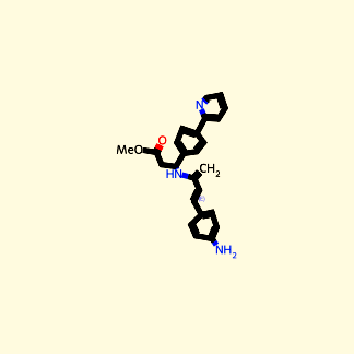 C=C(/C=C/c1ccc(N)cc1)NC(CC(=O)OC)c1ccc(-c2ccccn2)cc1